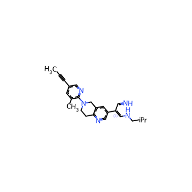 CC#Cc1cnc(N2CCc3ncc(/C(C=N)=C/NCC(C)C)cc3C2)c(C)c1